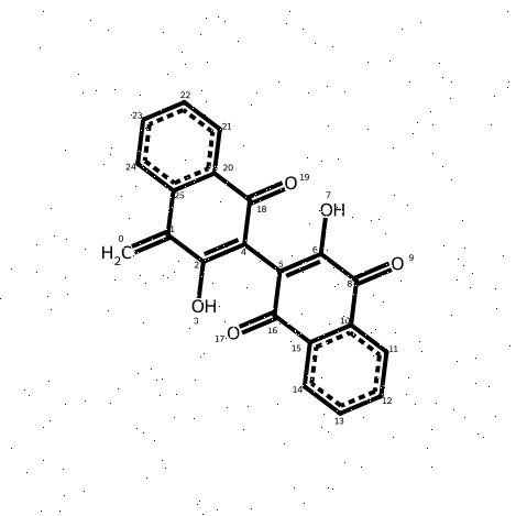 C=C1C(O)=C(C2=C(O)C(=O)c3ccccc3C2=O)C(=O)c2ccccc21